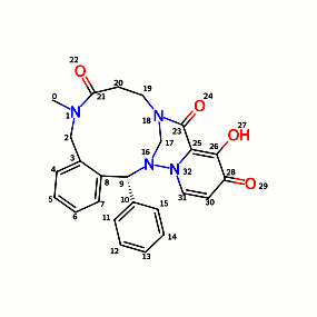 CN1Cc2ccccc2[C@@H](c2ccccc2)N2CN(CCC1=O)C(=O)c1c(O)c(=O)ccn12